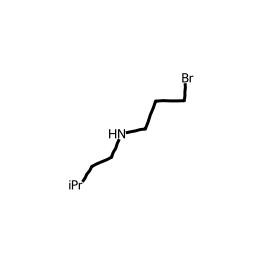 CC(C)CCNCCCBr